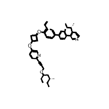 C\C=C(/C=C\C(=C\CC)OC1CC(Oc2ccc(C#CCOC(CC)C[C@H](C)CC)nc2)C1)c1ccc(-c2cnccc2[C@@H](C)CC)c(C)c1